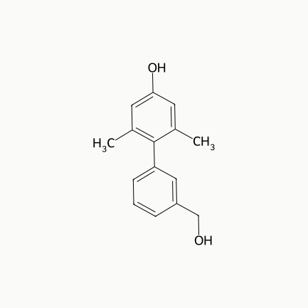 Cc1cc(O)cc(C)c1-c1cccc(CO)c1